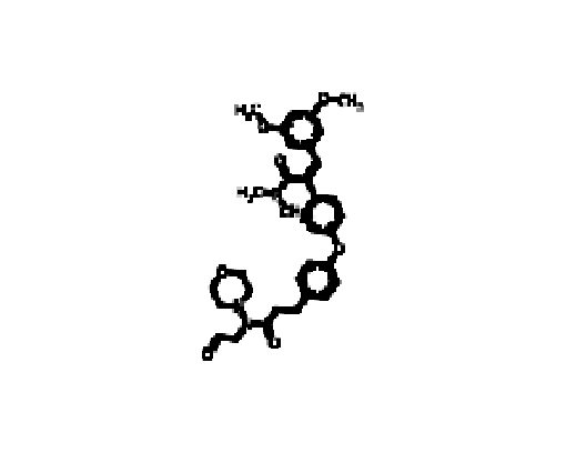 COc1cc(C=C(C(=O)N(C)C)c2ccc(Oc3ccc(CCC(=O)N(CC=O)N4CCOCC4)cc3)cc2)cc(OC)c1